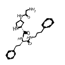 NCC(=O)N[C@@H]1CN[C@@H](C(=O)N[C@H](CCc2ccccc2)C(=O)NCCCc2ccccc2)C1